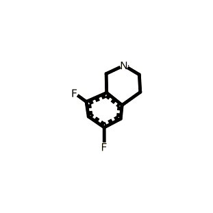 Fc1cc(F)c2c(c1)CC[N]C2